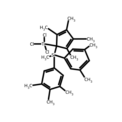 CC1=C(C)[C]([Si](C)(c2cc(C)cc(C)c2)c2cc(C)c(C)c(C)c2)([Ti]([Cl])([Cl])[Cl])C(C)=C1C